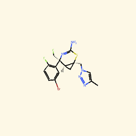 Cc1cn(C[C@]23C[C@H]2[C@@](CF)(c2cc(Br)ccc2F)N=C(N)S3)nn1